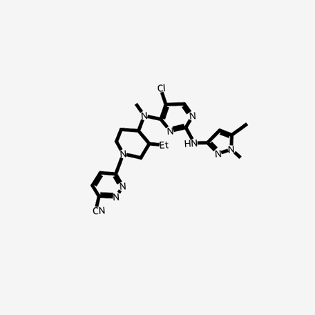 CCC1CN(c2ccc(C#N)nn2)CCC1N(C)c1nc(Nc2cc(C)n(C)n2)ncc1Cl